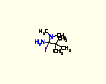 CN(C)C(N)(I)C(C)(C)C